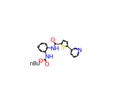 CCCCOC(=O)Nc1ccccc1NC(=O)c1ccc(-c2cccnc2)s1